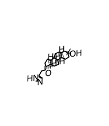 C[C@@]1(O)CC[C@H]2[C@H](CC[C@@H]3[C@@H]2CC[C@]2(C)[C@@H](C(=O)Cc4cnc[nH]4)CC[C@@H]32)C1